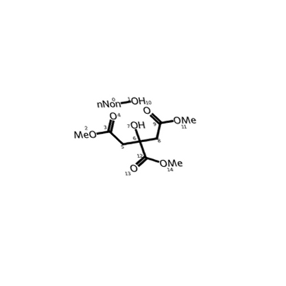 CCCCCCCCCO.COC(=O)CC(O)(CC(=O)OC)C(=O)OC